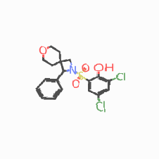 O=S(=O)(c1cc(Cl)cc(Cl)c1O)N1CC2(CCOCC2)C1c1ccccc1